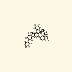 Cc1cccc(-c2cc3c([nH]c4ccc(-c5ccccc5)cc43)c3c2C(C)(C)c2ccccc2-3)c1